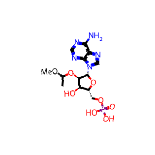 COC(C)O[C@@H]1[C@H](O)[C@@H](COP(=O)(O)O)O[C@H]1n1cnc2c(N)ncnc21